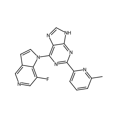 Cc1cccc(-c2nc(-n3ccc4cncc(F)c43)c3nc[nH]c3n2)n1